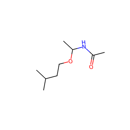 CC(=O)NC(C)OCCC(C)C